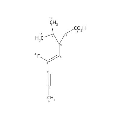 CC#CC(F)=CC1C(C(=O)O)C1(C)C